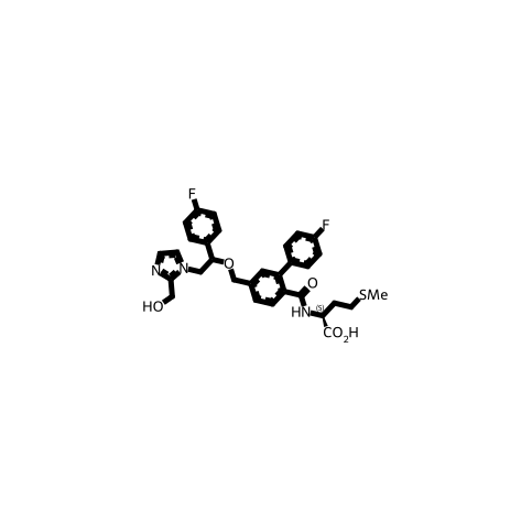 CSCC[C@H](NC(=O)c1ccc(COC(Cn2ccnc2CO)c2ccc(F)cc2)cc1-c1ccc(F)cc1)C(=O)O